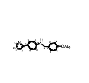 COc1ccc(CNc2ccc(-c3cs[c]n3)cc2)cc1